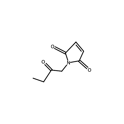 CCC(=O)CN1C(=O)C=CC1=O